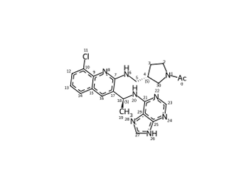 CC(=O)N1CC[C@@H](CNc2nc3c(Cl)cccc3cc2[C@H](C)Nc2ncnc3[nH]cnc23)C1